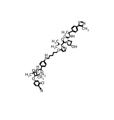 Cc1ncsc1-c1ccc([C@H](C)NC(=O)[C@@H]2C[C@@H](O)CN2C(=O)[C@@H](C(C)C)n2nccc2OCCCCCNc2ccc(C(=O)N[C@H]3C(C)(C)[C@H](Oc4ccc(C#N)c(Cl)c4)C3(C)C)cc2)cc1